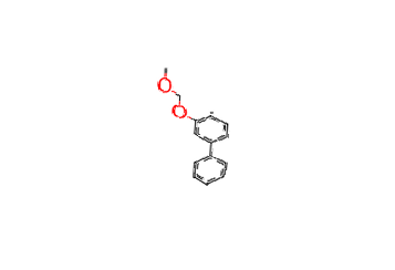 COCOc1[c]ccc(-c2ccccc2)c1